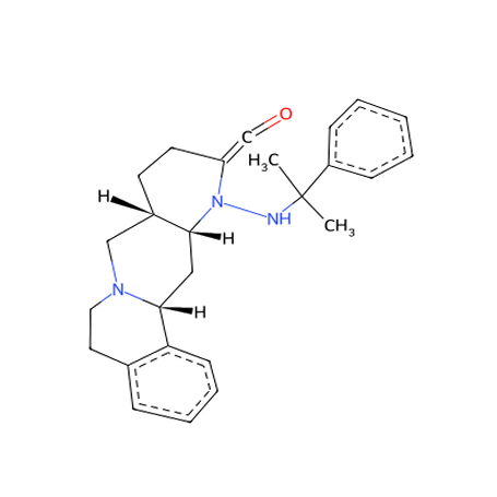 CC(C)(NN1C(=C=O)CC[C@H]2CN3CCc4ccccc4[C@H]3C[C@H]21)c1ccccc1